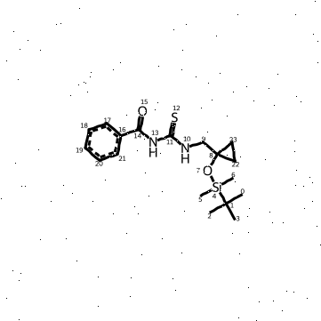 CC(C)(C)[Si](C)(C)OC1(CNC(=S)NC(=O)c2ccccc2)CC1